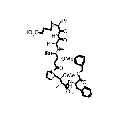 CC[C@H](C)[C@@H]([C@@H](CC(=O)N1CCC[C@H]1[C@H](OC)[C@@H](C)C(=O)N[C@H](C(=O)OCc1ccccc1)[C@@H](C)c1ccccc1)OC)N(C)[C@H](C(=O)NC(=O)[C@H](C(C)C)N(C)CCCC(=O)O)C(C)C